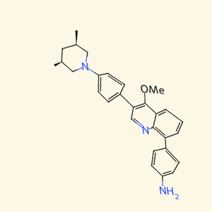 COc1c(-c2ccc(N3C[C@H](C)C[C@H](C)C3)cc2)cnc2c(-c3ccc(N)cc3)cccc12